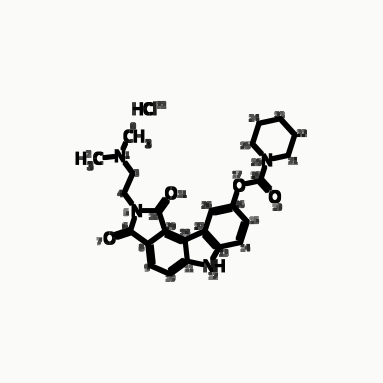 CN(C)CCN1C(=O)c2ccc3[nH]c4ccc(OC(=O)N5CCCCC5)cc4c3c2C1=O.Cl